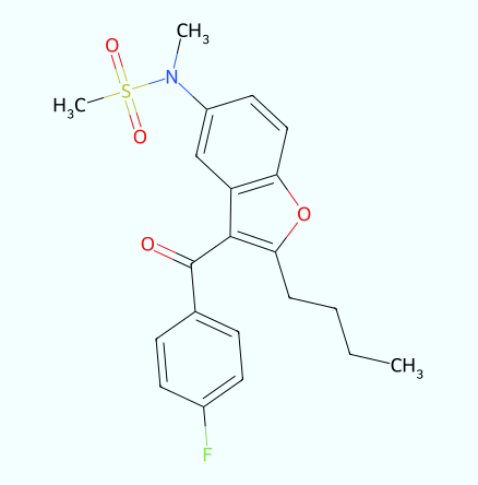 CCCCc1oc2ccc(N(C)S(C)(=O)=O)cc2c1C(=O)c1ccc(F)cc1